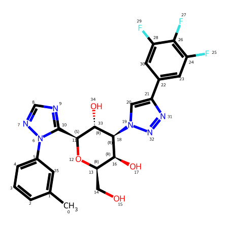 Cc1cccc(-n2ncnc2[C@@H]2O[C@H](CO)[C@H](O)[C@H](n3cc(-c4cc(F)c(F)c(F)c4)nn3)[C@H]2O)c1